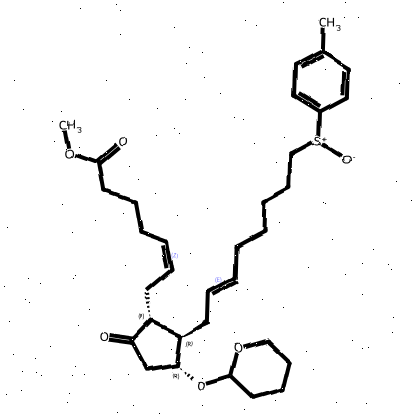 COC(=O)CCC/C=C\C[C@H]1C(=O)C[C@@H](OC2CCCCO2)[C@@H]1C/C=C/CCCCC[S+]([O-])c1ccc(C)cc1